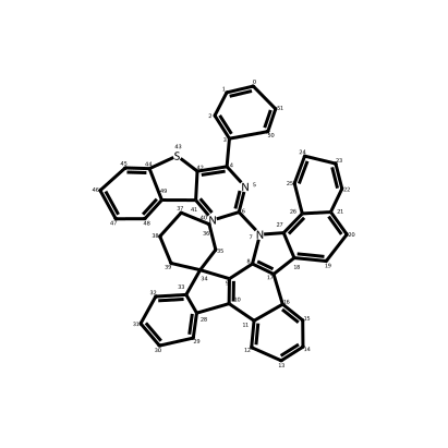 c1ccc(-c2nc(-n3c4c5c(c6ccccc6c4c4ccc6ccccc6c43)-c3ccccc3C53CCCCC3)nc3c2sc2ccccc23)cc1